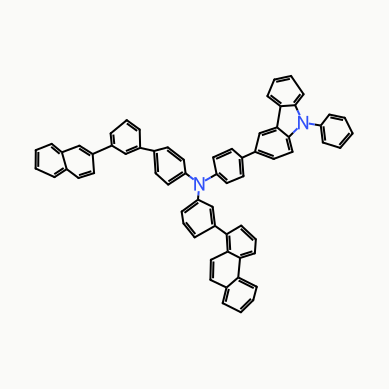 c1ccc(-n2c3ccccc3c3cc(-c4ccc(N(c5ccc(-c6cccc(-c7ccc8ccccc8c7)c6)cc5)c5cccc(-c6cccc7c6ccc6ccccc67)c5)cc4)ccc32)cc1